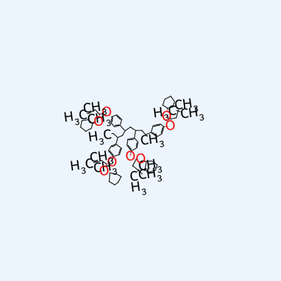 CCC(CC(CC(CC(C)c1ccc(OC(CC(C)(C)C)OC2CCCCC2)cc1)c1ccc(OC(CC(C)(C)C)OC2CCCCC2)cc1)c1ccc(OC(CC(C)(C)C)OC2CCCCC2)cc1)c1ccc(OC(CC(C)(C)C)OC2CCCCC2)cc1